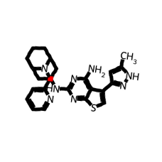 Cc1cc(-c2csc3nc(NC4CC5CCCC(C4)N5Cc4ccccn4)nc(N)c23)n[nH]1